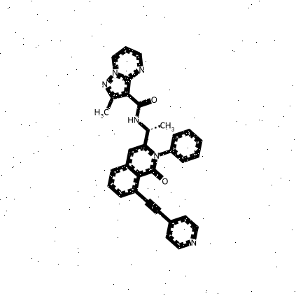 Cc1nn2cccnc2c1C(=O)N[C@H](C)c1cc2cccc(C#Cc3ccncc3)c2c(=O)n1-c1ccccc1